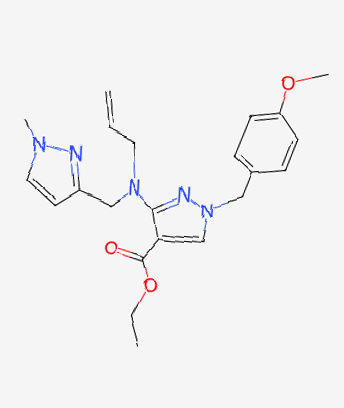 C=CCN(Cc1ccn(C)n1)c1nn(Cc2ccc(OC)cc2)cc1C(=O)OCC